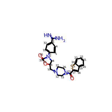 N=C(N)c1ccc(N2CC(CN3CCN(C(=O)c4cc5ccccc5s4)CC3)OC2=O)cc1